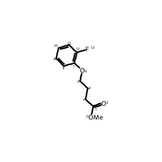 COC(=O)CCCOc1[c]cccc1F